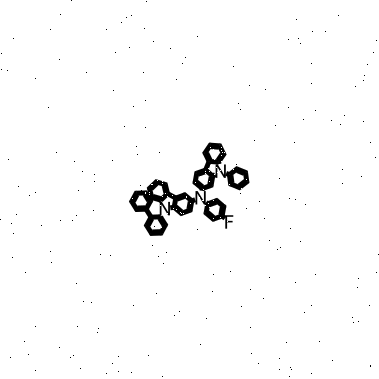 Fc1ccc(N(c2ccc3c(c2)c2ccccc2n3-c2ccccc2-c2ccccc2)c2ccc3c4ccccc4n(-c4ccccc4)c3c2)cc1